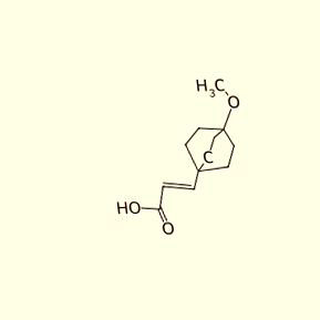 COC12CCC(C=CC(=O)O)(CC1)CC2